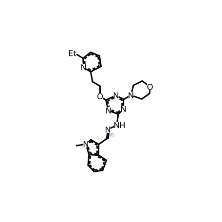 CCc1cccc(CCOc2nc(N/N=C/c3cn(C)c4ccccc34)nc(N3CCOCC3)n2)n1